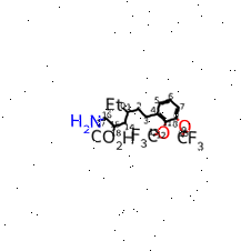 CCC(CCc1cccc(OC(F)(F)F)c1OC(F)(F)F)CC(CN)C(=O)O